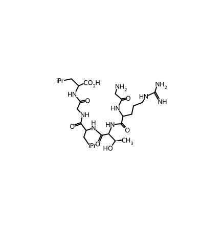 CC(C)CC(NC(=O)CNC(=O)C(CC(C)C)NC(=O)C(NC(=O)C(CCCNC(=N)N)NC(=O)CN)[C@@H](C)O)C(=O)O